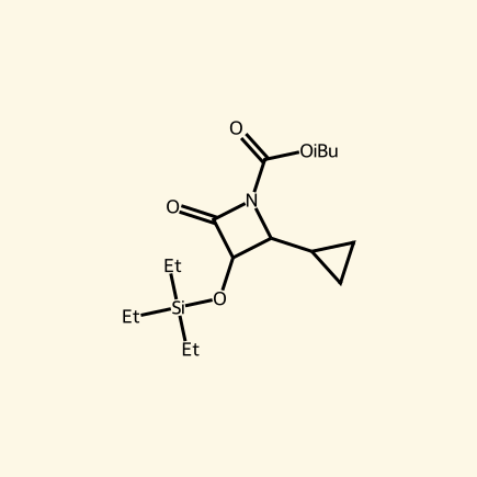 CC[Si](CC)(CC)OC1C(=O)N(C(=O)OCC(C)C)C1C1CC1